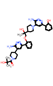 CC(C)(O)C(=O)N1CCC(c2cc(-c3ccccc3OCC(C)(O)C3CCN(c4cc(-c5ccccc5O)nnc4N)CC3)nnc2N)CC1